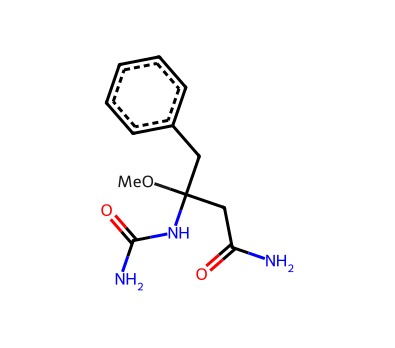 COC(CC(N)=O)(Cc1ccccc1)NC(N)=O